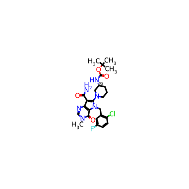 Cn1cnc2c(C(N)=O)c(N3CCC[C@@H](NC(=O)OC(C)(C)C)C3)n(Cc3cc(F)ccc3Cl)c2c1=O